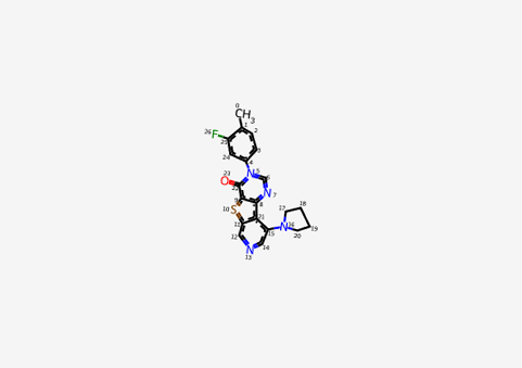 Cc1ccc(-n2cnc3c(sc4cncc(N5CCCC5)c43)c2=O)cc1F